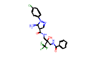 NC1C(C(=O)NCC(O)(CNC(=O)c2ccccc2)C(F)(F)F)C=NN1c1ccc(Cl)cc1